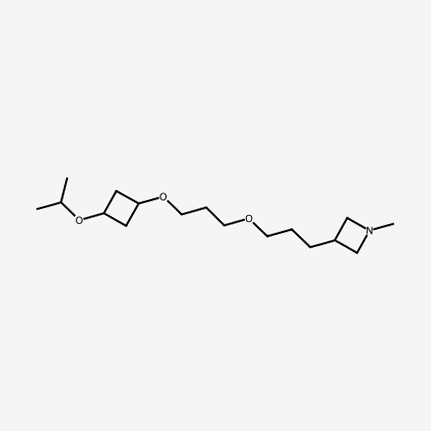 CC(C)OC1CC(OCCCOCCCC2CN(C)C2)C1